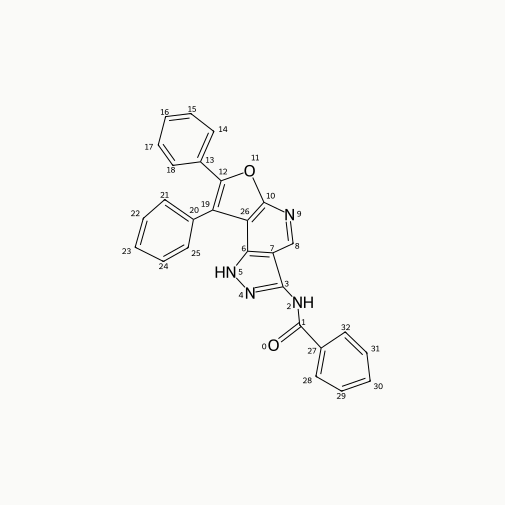 O=C(Nc1n[nH]c2c1cnc1oc(-c3ccccc3)c(-c3ccccc3)c12)c1ccccc1